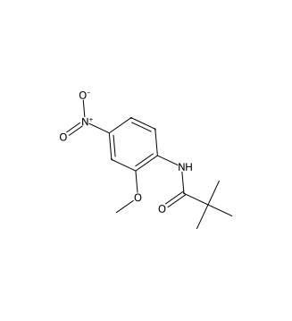 COc1cc([N+](=O)[O-])ccc1NC(=O)C(C)(C)C